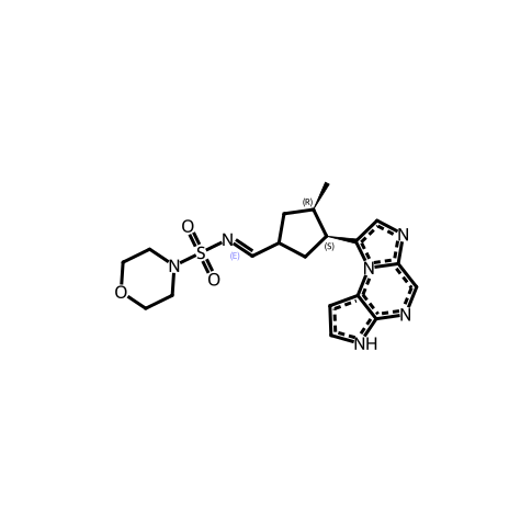 C[C@@H]1CC(/C=N/S(=O)(=O)N2CCOCC2)C[C@@H]1c1cnc2cnc3[nH]ccc3n12